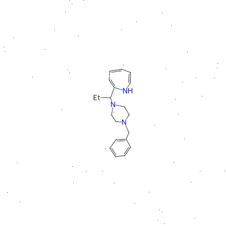 CCC(C1=CC=CC=CN1)N1CCN(Cc2ccccc2)CC1